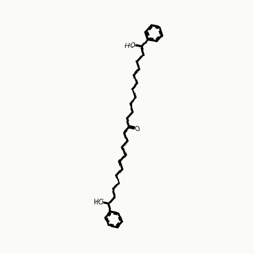 O=C(CCCCCCCCCCC(O)c1ccccc1)CCCCCCCCCCC(O)c1ccccc1